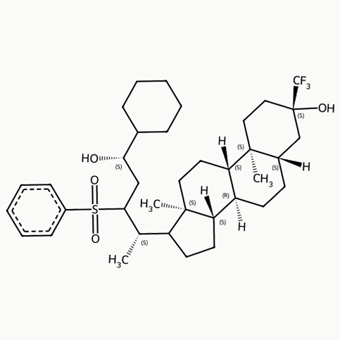 C[C@@H](C1CC[C@H]2[C@@H]3CC[C@H]4C[C@](O)(C(F)(F)F)CC[C@]4(C)[C@H]3CC[C@]12C)C(C[C@H](O)C1CCCCC1)S(=O)(=O)c1ccccc1